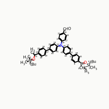 CB(O[Si](C)(C)C(C)(C)C)c1ccc(-c2ccc(N(c3ccc(C=O)cc3)c3ccc(-c4ccc(C(C)O[Si](C)(C)C(C)(C)C)cc4)cc3)cc2)cc1